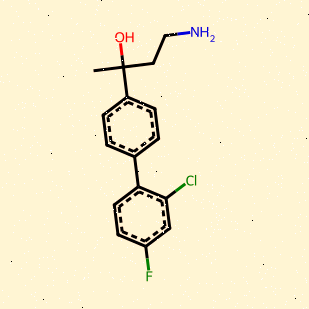 CC(O)(CCN)c1ccc(-c2ccc(F)cc2Cl)cc1